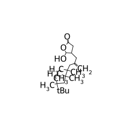 C=C(CC1CC(=O)OC1O)CC(C)(C)C(C)(C)CC(C)(C)C(C)(C)C